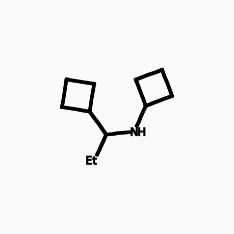 CCC(NC1CCC1)C1CCC1